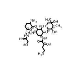 C[C@@H]1C(O)[C@@H](OC2C(O)C(O[C@H]3O[C@H](CNC(=N)CO)CCC3N)[C@@H](N)C[C@H]2NC(=O)[C@@H](O)CCN)OCC1(C)O